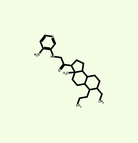 CCCC1C(CC)CCC2C1CCC1(C)C(C(=O)CNc3cnccc3N)CCC21